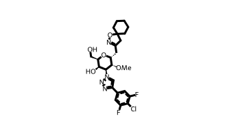 CO[C@@H]1[C@@H](n2cc(-c3cc(F)c(Cl)c(F)c3)nn2)[C@@H](O)[C@@H](CO)O[C@@H]1CC1=NOC2(CCCCC2)C1